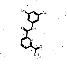 CC(=O)c1cc(NC(=O)c2cccc(C(N)=O)n2)cc(C(C)=O)c1